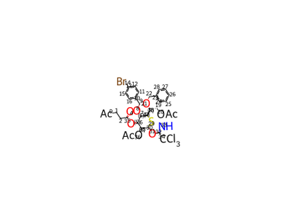 CC(=O)CCC(=O)O[C@H]1[C@H](OCc2ccc(Br)cc2)[C@@H]([C@@H](COC(C)=O)OCc2ccccc2)SC(OC(=N)C(Cl)(Cl)Cl)[C@H]1OC(C)=O